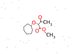 CCOC(=O)C(OC1CCCCCC1)C(C)=O